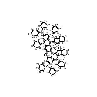 CC1(C)C2=C(c3ccccc31)N(c1ccccc1)c1cc(N(c3ccccc3)c3ccccc3)cc3c1B2c1cc2c(cc1O3)N(c1ccccc1)c1cc(N(c3ccccc3)c3ccccc3)cc3c1B2C1=C(c2ccccc2C1(C)C)N3c1ccccc1